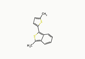 Cc1ccc(-c2sc(C)c3ccccc23)s1